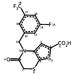 O=C(O)c1cc2c(s1)SCC(=O)N2Cc1cc(F)cc(C(F)(F)F)c1